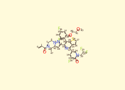 C=CC(=O)N1CCn2nc(-c3nc(-c4cc(F)c(=O)n(CC(F)F)c4)c4ccsc4c3-c3c(F)cc(F)cc3OCCOC)cc2C1C